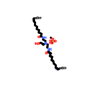 CCCCCCCC/C=C\CCCCCCCC(=O)NCCN(CCO)CCNC(=O)CCCCCCC/C=C\CCCCCCCC.COS(=O)(=O)O